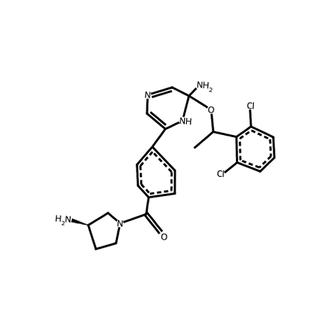 CC(OC1(N)C=NC=C(c2ccc(C(=O)N3CC[C@@H](N)C3)cc2)N1)c1c(Cl)cccc1Cl